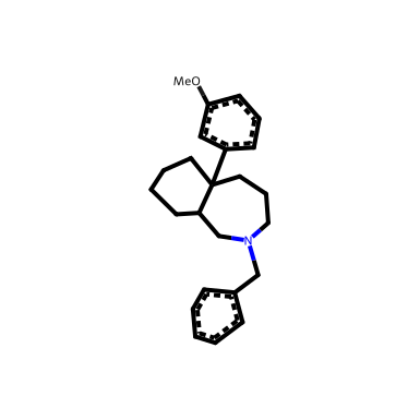 COc1cccc(C23CCCCC2CN(Cc2ccccc2)CCC3)c1